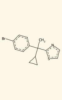 CC(c1ccc(Br)cc1)(c1nccs1)C1CC1